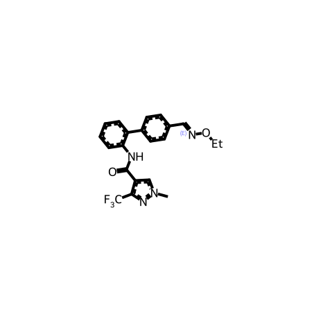 CCO/N=C/c1ccc(-c2ccccc2NC(=O)c2cn(C)nc2C(F)(F)F)cc1